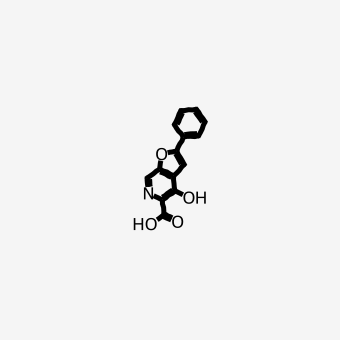 O=C(O)c1ncc2oc(-c3ccccc3)cc2c1O